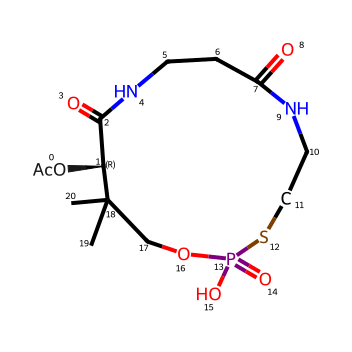 CC(=O)O[C@H]1C(=O)NCCC(=O)NCCSP(=O)(O)OCC1(C)C